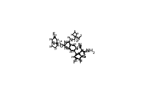 CN(CC1(N(C)C)CCC1)c1nc(OC[C@]23CCCN2C[C@@H](F)C3)nc2cc(-c3cc(F)c(F)c4sc(N)c(C#N)c34)ncc12